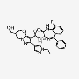 CCn1cc(-c2nn3c(c2C(=O)N[C@H]2N=C(c4ccccc4)c4cccc(F)c4NC2=O)OCC(CO)C3)cn1